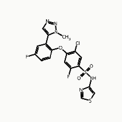 Cn1nncc1-c1cc(F)ccc1Oc1cc(F)c(S(=O)(=O)Nc2cscn2)cc1Cl